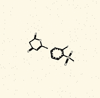 CC1=CC(=O)CC(=O)O1.CS(=O)(=O)c1ccccc1I